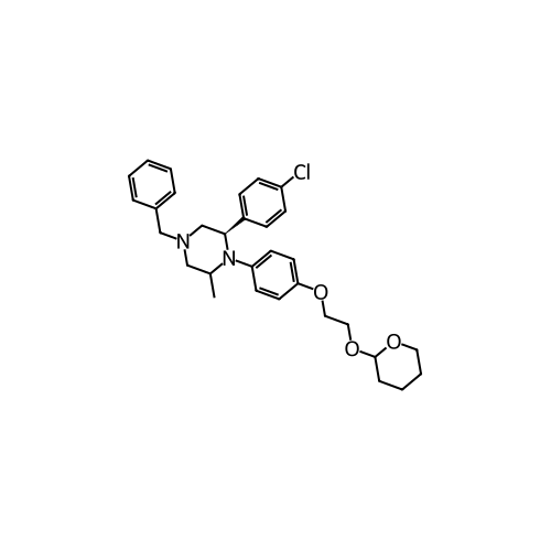 CC1CN(Cc2ccccc2)C[C@@H](c2ccc(Cl)cc2)N1c1ccc(OCCOC2CCCCO2)cc1